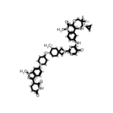 C[C@@H]1CC2(CC[C@@H]1OC1CCN(c3ccc4c(C5CCC(=O)NC5=O)nn(C)c4c3)CC1)CN(c1ncc(Cl)c(Nc3ccc4c(c3)c3c(c(=O)n4C)OCC(F)(F)[C@H](C4CC4)N3)n1)C2